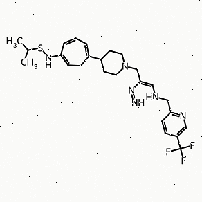 CC(C)SNC1=CCC(C2CCN(C/C(=C/NCc3ccc(C(F)(F)F)cn3)N=N)CC2)=CC=C1